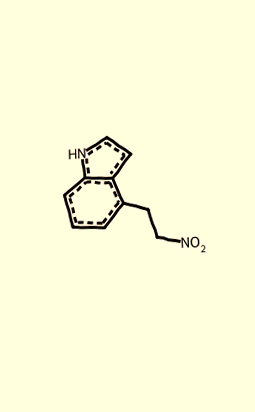 O=[N+]([O-])CCc1cccc2[nH]ccc12